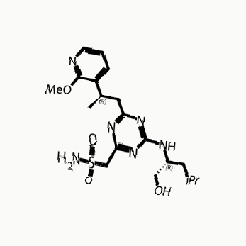 COc1ncccc1[C@H](C)Cc1nc(CS(N)(=O)=O)nc(N[C@@H](CO)CC(C)C)n1